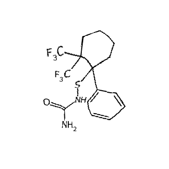 NC(=O)NSC1(c2ccccc2)CCCCC1(C(F)(F)F)C(F)(F)F